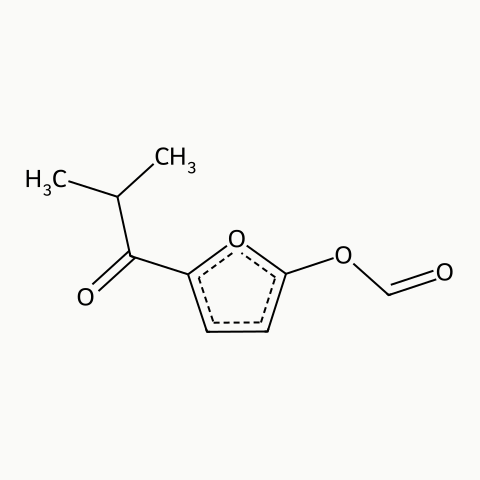 CC(C)C(=O)c1ccc(OC=O)o1